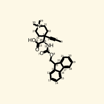 CC#CC1([C@@H](NC(=O)OCC2c3ccccc3-c3ccccc32)C(=O)O)CC[N+](C)(C)CC1